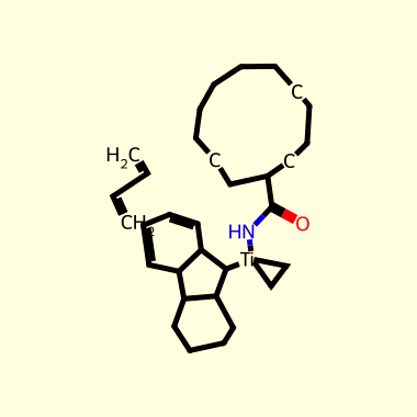 C=CC=C.O=C([NH][Ti]1([CH]2C3C=CC=CC3C3CCCCC32)[CH2][CH2]1)C1CCCCCCCCCCC1